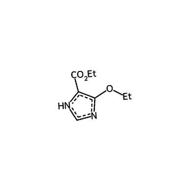 CCOC(=O)c1[nH]cnc1OCC